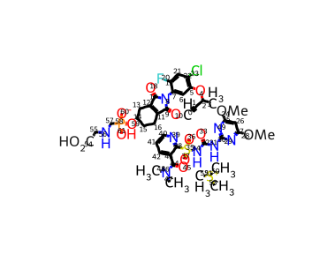 C#CC(C)Oc1cc(N2C(=O)C3=C(CCCC3)C2=O)c(F)cc1Cl.COc1cc(OC)nc(NC(=O)NS(=O)(=O)c2ncccc2C(=O)N(C)C)n1.C[S+](C)C.O=C(O)CNCP(=O)([O-])O